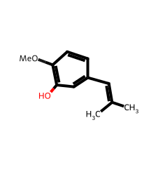 COc1ccc(C=C(C)C)cc1O